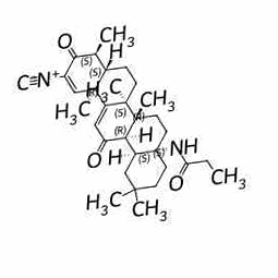 [C-]#[N+]C1=C[C@]2(C)C3=CC(=O)[C@@H]4[C@@H]5CC(C)(C)CC[C@]5(NC(=O)CC)CC[C@@]4(C)[C@]3(C)CC[C@H]2[C@H](C)C1=O